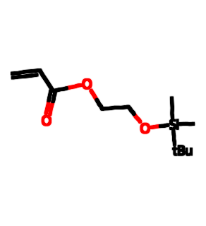 C=CC(=O)OCCO[Si](C)(C)C(C)(C)C